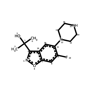 CC(C)(O)c1noc2cc(F)c(N3CCNCC3)cc12